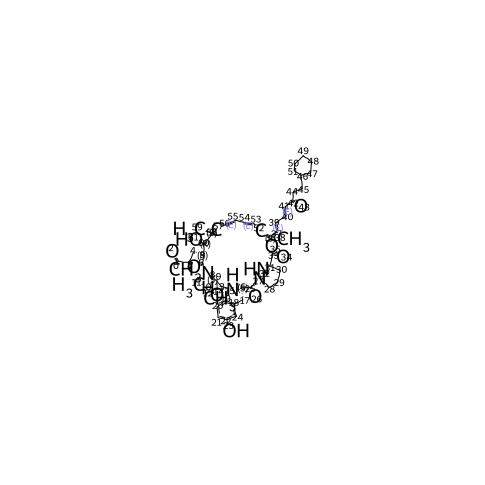 CC(=O)CC[C@H]1C(=O)N[C@@H](C(C)C)C(=O)N[C@@H](Cc2cccc(O)c2)C(=O)N2CCCC(N2)C(=O)O[C@H](/C(C)=C/C=C/C(=O)CCC2CCCCC2)C/C=C/C=C/C[C@H](C)[C@H]1O